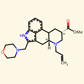 C=CCN1C[C@@H](C(=O)OC)CC2c3cccc4[nH]c(CN5CCOCC5)c(c34)C[C@H]21